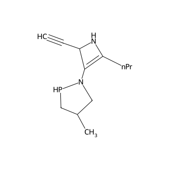 C#CC1NC(CCC)=C1N1CC(C)CP1